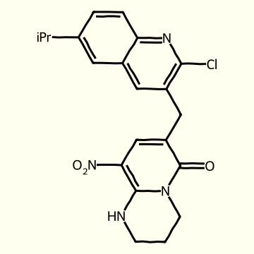 CC(C)c1ccc2nc(Cl)c(Cc3cc([N+](=O)[O-])c4n(c3=O)CCCN4)cc2c1